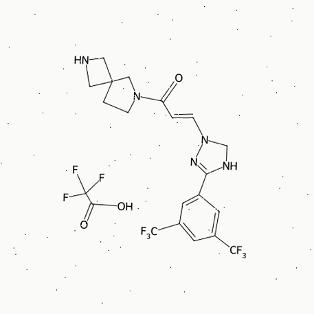 O=C(C=CN1CNC(c2cc(C(F)(F)F)cc(C(F)(F)F)c2)=N1)N1CCC2(CNC2)C1.O=C(O)C(F)(F)F